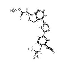 COC(=O)N[C@@H]1CCc2c(-c3nnc(-c4ccc(OC(C)C)c(C#N)c4)s3)cccc21